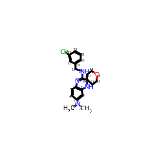 CN(C)c1ccc2c(c1)NC1(CCOCC1)C(NCc1cccc(Cl)c1)=N2